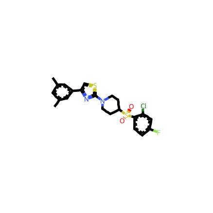 Cc1cc(C)cc(-c2csc(N3CCC(S(=O)(=O)c4ccc(F)cc4Cl)CC3)n2)c1